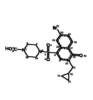 O=C(O)N1CCN(S(=O)(=O)c2cn(CC3CC3)c(=O)c3ccc(Br)cc23)CC1